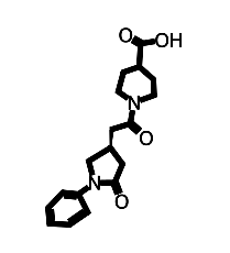 O=C(O)C1CCN(C(=O)C[C@H]2CC(=O)N(c3ccccc3)C2)CC1